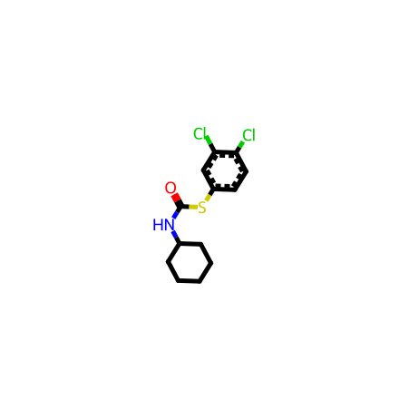 O=C(NC1CCCCC1)Sc1ccc(Cl)c(Cl)c1